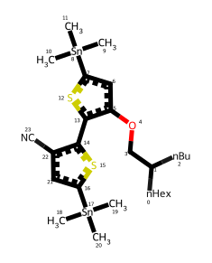 CCCCCCC(CCCC)COc1c[c]([Sn]([CH3])([CH3])[CH3])sc1-c1s[c]([Sn]([CH3])([CH3])[CH3])cc1C#N